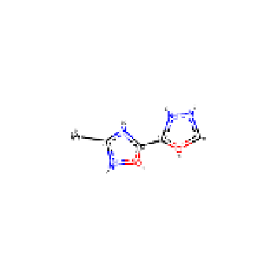 CC(C)c1noc(-c2nnco2)n1